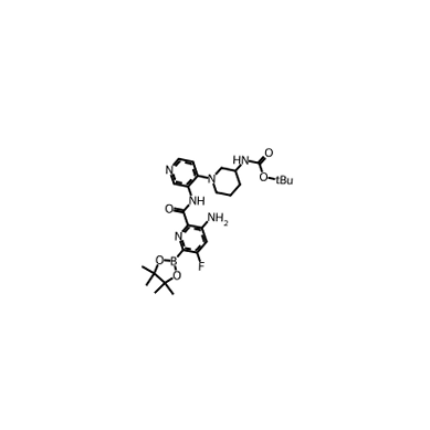 CC(C)(C)OC(=O)NC1CCCN(c2ccncc2NC(=O)c2nc(B3OC(C)(C)C(C)(C)O3)c(F)cc2N)C1